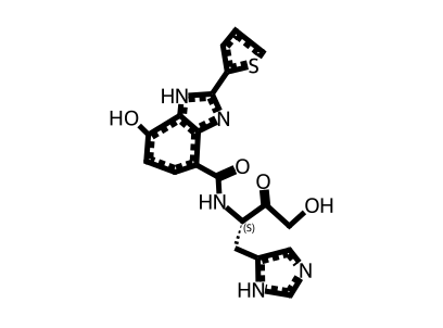 O=C(N[C@@H](Cc1cnc[nH]1)C(=O)CO)c1ccc(O)c2[nH]c(-c3cccs3)nc12